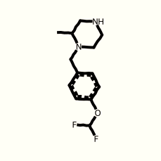 CC1CNCCN1Cc1ccc(OC(F)F)cc1